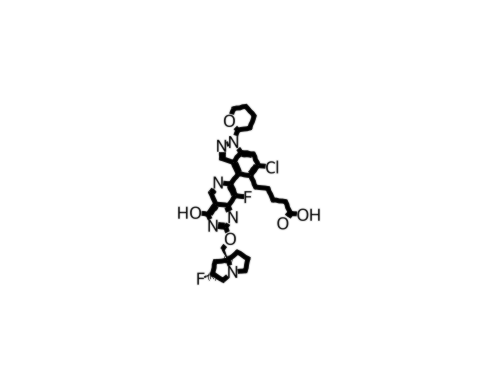 O=C(O)CCCCc1c(Cl)cc2c(cnn2C2CCCCO2)c1-c1ncc2c(O)nc(OC[C@@]34CCCN3C[C@H](F)C4)nc2c1F